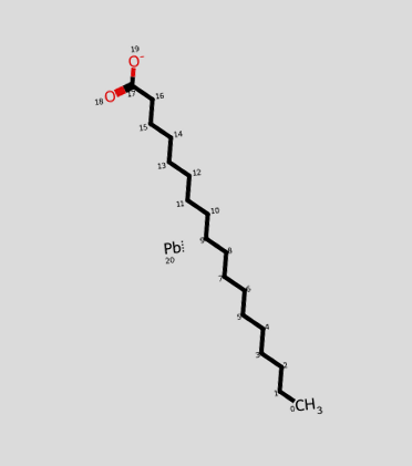 CCCCCCCCCCCCCCCCCC(=O)[O-].[Pb]